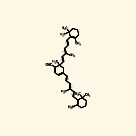 CC1=C(/C=C/C=C(C)/C=C/C2(C)CC(/C=C/C=C(C)/C=C/C3=C(C)CCCC3(C)C)=CC=C2C=O)C(C)(C)CCC1